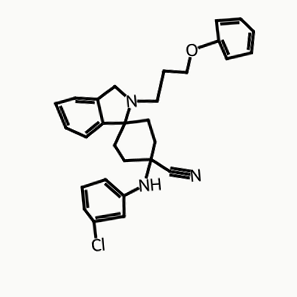 N#CC1(Nc2cccc(Cl)c2)CCC2(CC1)c1ccccc1CN2CCCOc1ccccc1